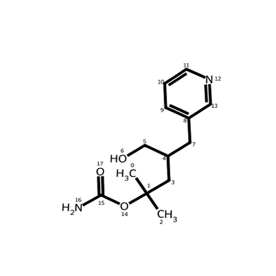 CC(C)(CC(CO)Cc1cccnc1)OC(N)=O